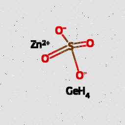 O=S(=O)([O-])[O-].[GeH4].[Zn+2]